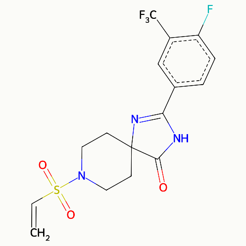 C=CS(=O)(=O)N1CCC2(CC1)N=C(c1ccc(F)c(C(F)(F)F)c1)NC2=O